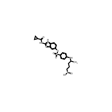 CCN(CC)CCCC(C)Nc1ccc(S(=O)(=O)Oc2ccc3[nH]c(NC(=O)C4CC4)nc3c2)cc1